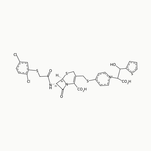 O=C(CSc1cc(Cl)ccc1Cl)N[C@H]1C(=O)N2C(C(=O)O)=C(CSc3cc[n+](C(C(=O)O)C(O)c4cccs4)cc3)CS[C@H]12